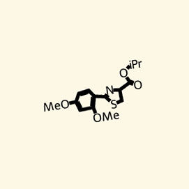 COc1ccc(C2=NC(C(=O)OC(C)C)CS2)c(OC)c1